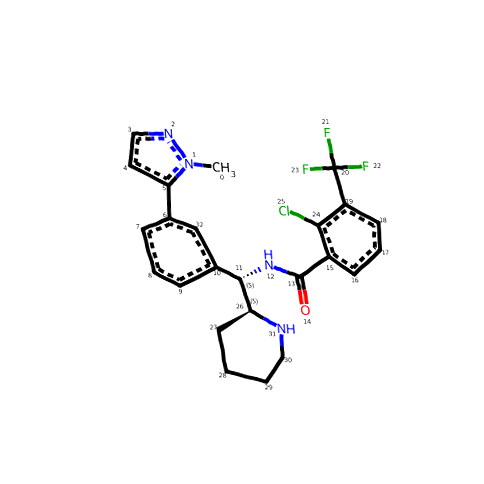 Cn1nccc1-c1cccc([C@H](NC(=O)c2cccc(C(F)(F)F)c2Cl)[C@@H]2CCCCN2)c1